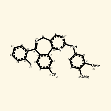 COc1ccc(Nc2ncc3c(n2)-c2cc(C(F)(F)F)ccc2C(c2ccccc2F)=NC3)cc1OC